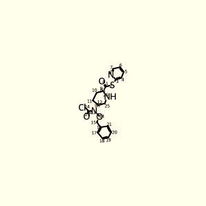 O=C(Sc1ccccn1)[C@@H]1CC[C@@H](N(OCc2ccccc2)C(=O)Cl)CN1